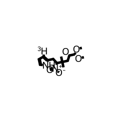 [3H]c1cc[nH]c1CC([N+](=O)[O-])C(C)(C)CC(=O)C(OC)OC